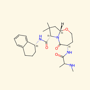 CNC(C)C(=O)N[C@H]1CCO[C@H]2CC(C)(C)[C@@H](C(=O)N[C@@H]3CCCc4ccccc43)N2C1=O